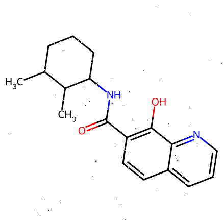 CC1CCCC(NC(=O)c2ccc3cccnc3c2O)C1C